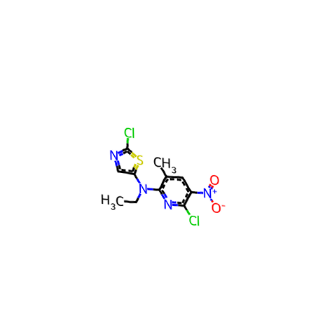 CCN(c1cnc(Cl)s1)c1nc(Cl)c([N+](=O)[O-])cc1C